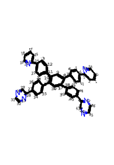 c1ccc(-c2ccc(-c3cc(-c4ccc(-c5ccccn5)cc4)c(-c4ccc(-c5cnccn5)cc4)cc3-c3ccc(-c4cnccn4)cc3)cc2)nc1